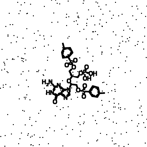 Cc1ccc(S(=O)(=O)OCC(O[C@H](COP(=O)(O)O)COS(=O)(=O)c2ccc(C)cc2)n2cnc3c(=O)[nH]c(N)nc32)cc1